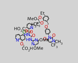 CCc1ccc(COc2ccc(-n3c(=O)cc(C(F)(F)F)n(C)c3=O)cc2)c(OC(C)C(=O)OC)c1.COc1cc(OC)nc(NC(=O)NS(=O)(=O)c2nc(C(F)(F)F)ccc2C(=O)O)n1.O=C(O)COc1ccc(Cl)c2cccnc12